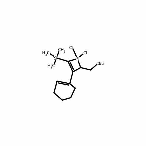 CC(C)(C)CC1C(C2=CCCCC2)=C([Si](C)(C)C)[Si]1(Cl)Cl